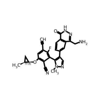 C#Cc1cc(O[C@@H]2C[C@@H]2C)c(C#N)c(-c2c(-c3ccc4c(=O)[nH]nc(CN)c4c3)cnn2C)c1F